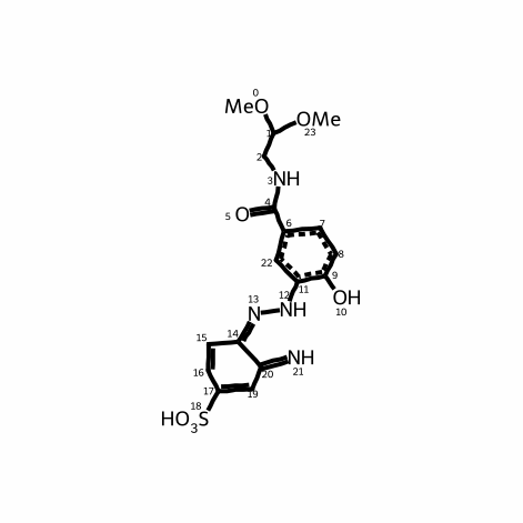 COC(CNC(=O)c1ccc(O)c(N/N=C2/C=CC(S(=O)(=O)O)=CC2=N)c1)OC